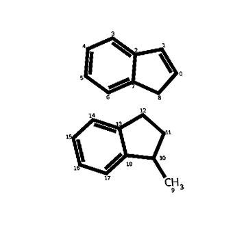 C1=Cc2ccccc2C1.CC1CCc2ccccc21